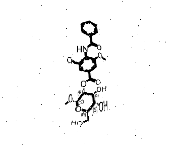 COc1cc(C(=O)O[C@H]2[C@@H](OC)O[C@H](CO)[C@@H](O)[C@@H]2O)cc(Cl)c1NC(=O)c1ccccc1